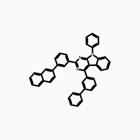 c1ccc(-c2cccc(-c3nc(-c4cccc(-c5ccc6ccccc6c5)c4)nc4c3c3ccccc3n4-c3ccccc3)c2)cc1